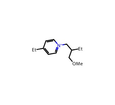 CCc1cc[n+](CC(CC)COC)cc1